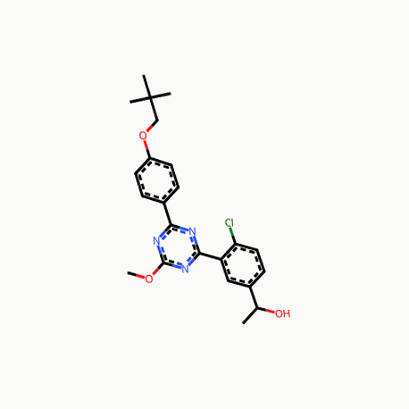 COc1nc(-c2ccc(OCC(C)(C)C)cc2)nc(-c2cc(C(C)O)ccc2Cl)n1